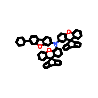 c1ccc(-c2ccc3c(c2)oc2cc(N(c4ccc5c(c4)C4(c6ccccc6O5)c5ccccc5-c5ccccc54)c4cccc5c4Oc4ccccc4C54c5ccccc5-c5ccccc54)ccc23)cc1